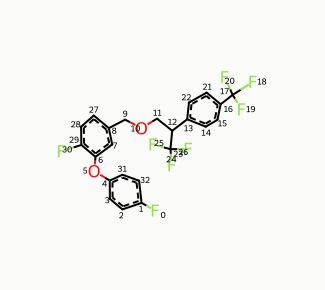 Fc1ccc(Oc2cc(COCC(c3ccc(C(F)(F)F)cc3)C(F)(F)F)ccc2F)cc1